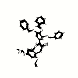 CCOc1cc(OCOC)cc2c1CC(O)C(c1cc(OCc3ccccc3)c(OCc3ccccc3)c(OCc3ccccc3)c1)O2